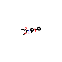 CCCC(=O)C(=CNc1ccc(OC(=O)c2ccccc2)cc1C)C(=O)OCC